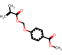 C=C(C)C(=O)OCOc1ccc(C(=O)OC)cc1